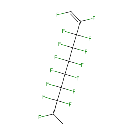 CC(F)C(F)(F)C(F)(F)C(F)(F)C(F)(F)C(F)(F)C(F)(F)/C(F)=[C]\F